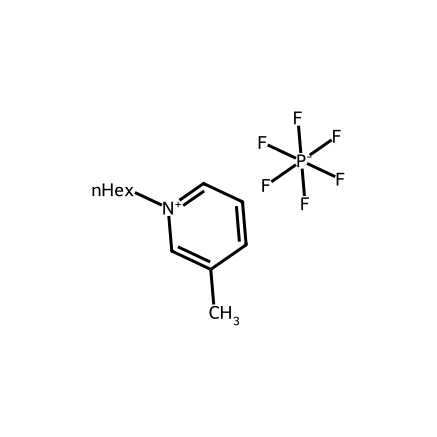 CCCCCC[n+]1cccc(C)c1.F[P-](F)(F)(F)(F)F